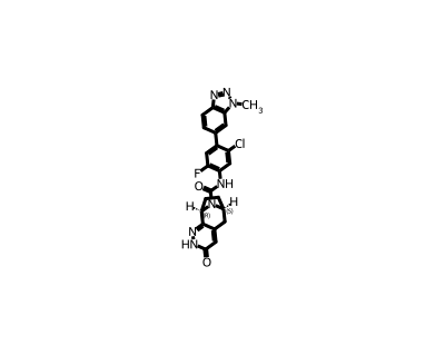 Cn1nnc2ccc(-c3cc(F)c(NC(=O)N4[C@H]5CC[C@@H]4c4n[nH]c(=O)cc4C5)cc3Cl)cc21